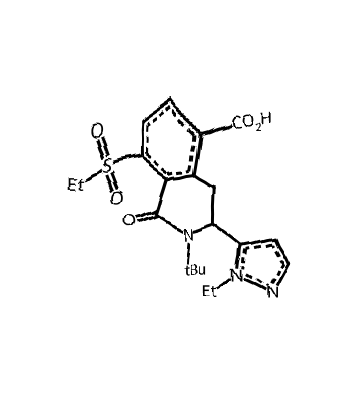 CCn1nccc1C1Cc2c(C(=O)O)ccc(S(=O)(=O)CC)c2C(=O)N1C(C)(C)C